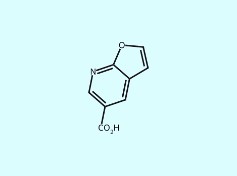 O=C(O)c1cnc2occc2c1